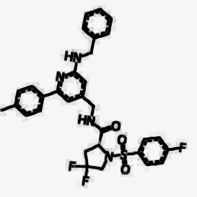 Cc1ccc(-c2cc(CNC(=O)[C@@H]3CC(F)(F)CN3S(=O)(=O)c3ccc(F)cc3)cc(NCc3ccccc3)n2)cc1